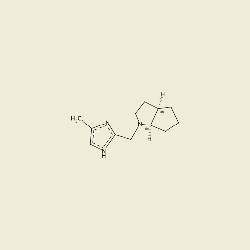 Cc1c[nH]c(CN2CC[C@H]3CCC[C@H]32)n1